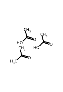 CC(=O)O.CC(=O)O.CC(C)=O